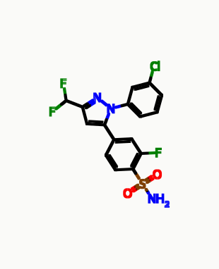 NS(=O)(=O)c1ccc(-c2cc(C(F)F)nn2-c2cccc(Cl)c2)cc1F